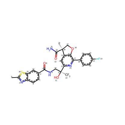 Cc1nc2ccc(C(=O)NC[C@](O)(c3cc4c(c(-c5ccc(F)cc5)n3)OC[C@]4(C)C(N)=O)C(F)(F)F)cc2s1